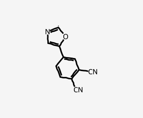 N#Cc1ccc(-c2cn[c]o2)cc1C#N